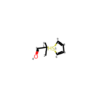 CC(C)(C=O)[SH]1C=CC=C1